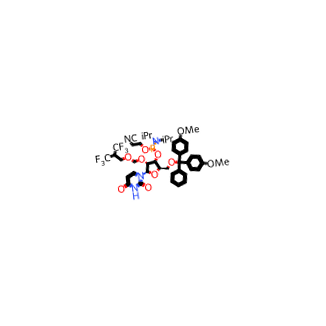 COc1ccc(C(OC[C@H]2O[C@@H](n3ccc(=O)[nH]c3=O)[C@@H](OCOCC(C(F)(F)F)C(F)(F)F)C2OP(OCCC#N)N(C(C)C)C(C)C)(c2ccccc2)c2ccc(OC)cc2)cc1